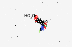 CC(C)C1=C2[C@H]3CC[C@@H]4[C@@]5(C)CC[C@H](OC(=O)CC(C)(C)C(=O)O)C(C)(C)[C@@H]5CC[C@@]4(C)[C@]3(C)CC[C@@]2(c2c(Cl)c(=O)n(-c3ccc(F)cn3)n2C)CC1=O